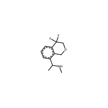 CNC(C)c1cccc2c1COCC2(F)F